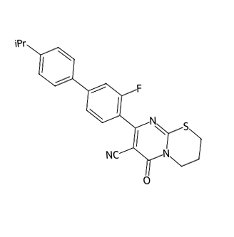 CC(C)c1ccc(-c2ccc(-c3nc4n(c(=O)c3C#N)CCCS4)c(F)c2)cc1